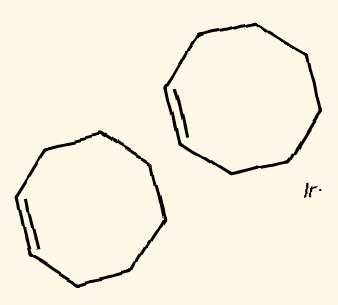 C1=C\CCCCCC/1.C1=C\CCCCCC/1.[Ir]